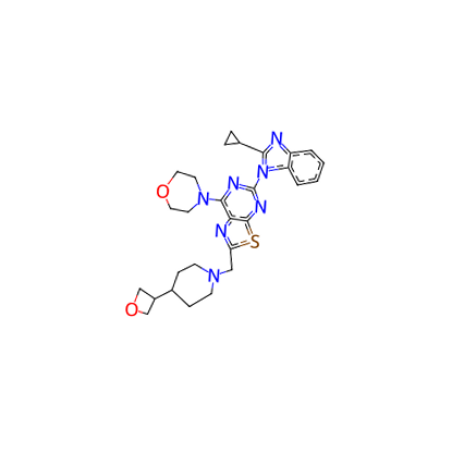 c1ccc2c(c1)nc(C1CC1)n2-c1nc(N2CCOCC2)c2nc(CN3CCC(C4COC4)CC3)sc2n1